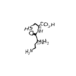 NCC[C@H](N)C(=O)N[C@@H](CS)C(=O)O